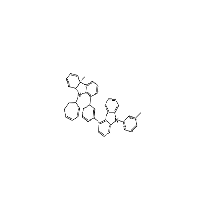 Cc1cccc(-n2c3ccccc3c3c(C4=CC(c5cccc6c5N(C5C=CC=CCC5)C5C=CC=CC65C)CC=C4)cccc32)c1